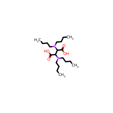 CCCCI(CCCC)C(C(=O)O)C(C(=O)O)I(CCCC)CCCC